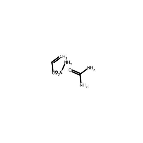 C=CC(=O)O.NC(=O)O.NC(N)=O